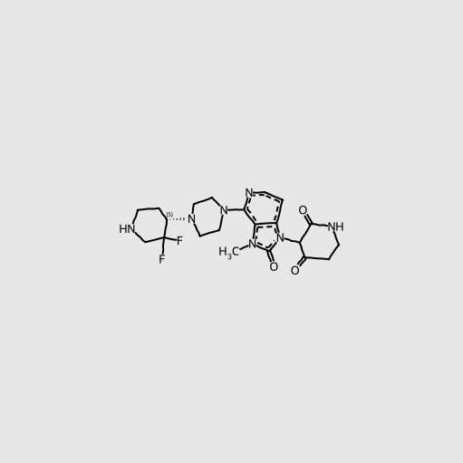 Cn1c(=O)n(C2C(=O)CCNC2=O)c2ccnc(N3CCN([C@H]4CCNCC4(F)F)CC3)c21